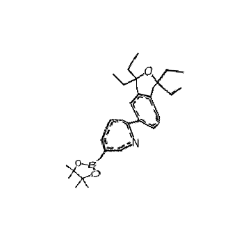 CCC1(CC)OC(CC)(CC)c2cc(-c3ccc(B4OC(C)(C)C(C)(C)O4)cn3)ccc21